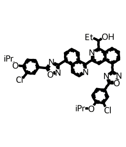 CCC(O)c1nc(-c2nccc3c(-c4noc(-c5ccc(OC(C)C)c(Cl)c5)n4)cccc23)cc2c(-c3noc(-c4ccc(OC(C)C)c(Cl)c4)n3)cccc12